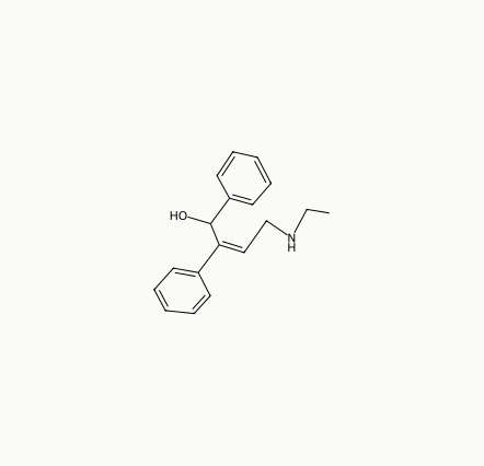 CCNCC=C(c1ccccc1)C(O)c1ccccc1